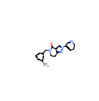 O=C1c2cn(C3=CCCN=C3)nc2CCN1Cc1cccc(C(F)(F)F)c1